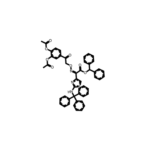 CC(=O)Oc1ccc(C(=O)CON=C(C(=O)OC(c2ccccc2)c2ccccc2)c2csc(NC(c3ccccc3)(c3ccccc3)c3ccccc3)n2)cc1OC(C)=O